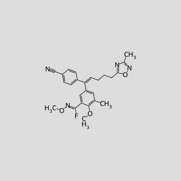 CON=C(F)c1cc(/C(=C\CCCc2nc(C)no2)c2ccc(C#N)cc2)cc(C)c1OC